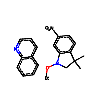 CCON1CC(C)(C)c2ccc([N+](=O)[O-])cc21.c1ccc2ncccc2c1